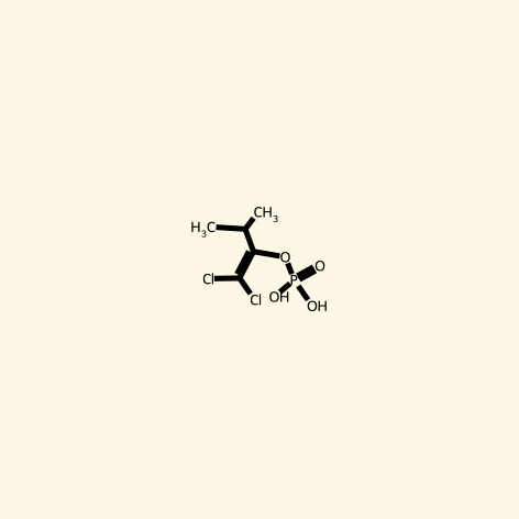 CC(C)C(OP(=O)(O)O)=C(Cl)Cl